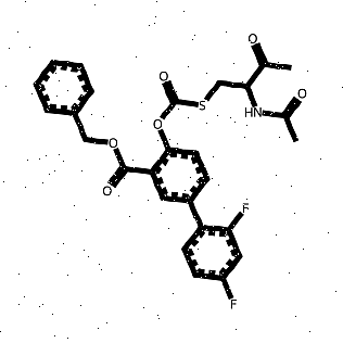 CC(=O)NC(CSC(=O)Oc1ccc(-c2ccc(F)cc2F)cc1C(=O)OCc1ccccc1)C(C)=O